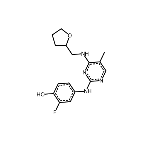 Cc1cnc(Nc2ccc(O)c(F)c2)nc1NCC1CCCO1